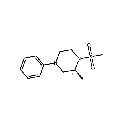 C[C@H]1CN(c2ccccc2)CCN1S(C)(=O)=O